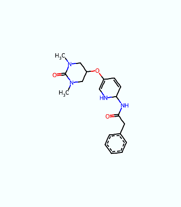 CN1CC(OC2=CNC(NC(=O)Cc3ccccc3)C=C2)CN(C)C1=O